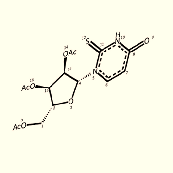 CC(=O)OC[C@H]1O[C@@H](n2ccc(=O)[nH]c2=S)[C@H](OC(C)=O)[C@@H]1OC(C)=O